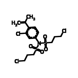 C=C(C)c1ccc(N(S(=O)(=O)CCCCl)S(=O)(=O)CCCCl)cc1Cl